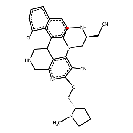 CN1CCC[C@H]1COc1nc2c(c(N3CCN[C@@H](CC#N)C3)c1C#N)C(c1cccc3cccc(Cl)c13)CNC2